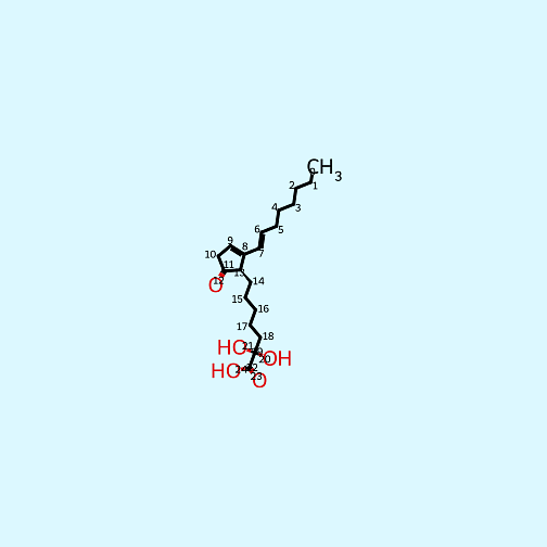 CCCCCC/C=C/C1=CCC(=O)[C@@H]1CCCCCC(O)(O)C(=O)O